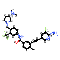 Cc1ccc(C(=O)Nc2ccc(CN3CC[C@H](N(C)C)C3)c(C(F)(F)F)c2)cc1C#Cc1cnc(N)c(F)c1